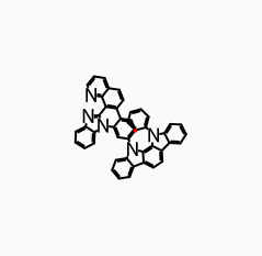 c1ccc(-n2c3ccccc3c3ccc4c5ccccc5n(-c5ccc6c7ccc8cccnc8c7c7nc8ccccc8n7c6c5)c4c32)cc1